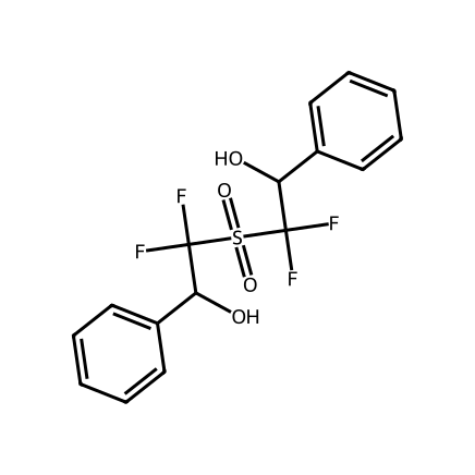 O=S(=O)(C(F)(F)C(O)c1ccccc1)C(F)(F)C(O)c1ccccc1